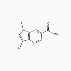 CCn1c(C)c(Cl)c2ccc(C(=O)OC)cc21